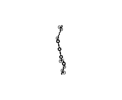 C=CC(=O)OCCCCCCOc1ccc(C#Cc2ccc(C#Cc3ccc(C(=O)Sc4ccc(OCCOC(=O)C=C)cc4)cc3)cc2)cc1